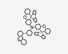 c1cc(-c2cccc3sc4ccccc4c23)cc(N(c2ccc3c(c2)C2(c4ccccc4O3)c3ccccc3-c3ccccc32)c2ccc3c(c2)C2(c4ccccc4O3)c3ccccc3-c3ccccc32)c1